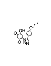 CCCCOc1ccc(-c2cnnn2-c2cc(O)c(OC)cc2OC)cc1